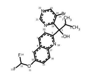 CC(C)C(O)(c1ccc2cc(OC(F)F)ccc2n1)c1ncncc1Br